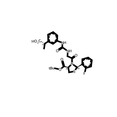 C[C@H](C(=O)O)c1cccc(NC(=O)NCC(=O)N2[C@@H](c3ccccc3F)SC[C@H]2C(=O)OC(C)(C)C)c1